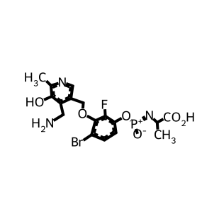 Cc1ncc(COc2c(Br)ccc(O/[P+]([O-])=N/C(C)C(=O)O)c2F)c(CN)c1O